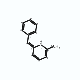 CC1=CC=CC(=Cc2ccccc2)N1